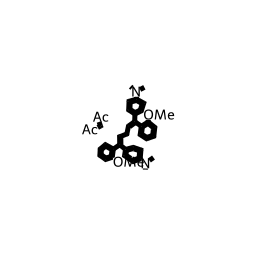 CC(=O)CC(C)=O.COc1ccccc1C(=CCC=C(c1ccc(N(C)C)cc1)c1ccccc1OC)c1ccc(N(C)C)cc1